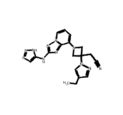 CCc1cnn(C2(CC#N)CN(c3cccn4nc(Nc5cnn[nH]5)nc34)C2)c1